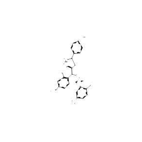 CCOc1ccc(C2CC(C(NS(=O)(=O)c3cc(N)ccc3C)c3ccc(Cl)cc3Cl)=NN2)cc1